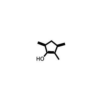 C=C1CC(=C)C(O)=C1C